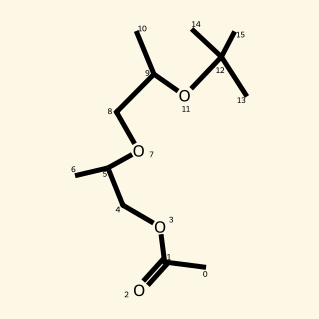 CC(=O)OCC(C)OCC(C)OC(C)(C)C